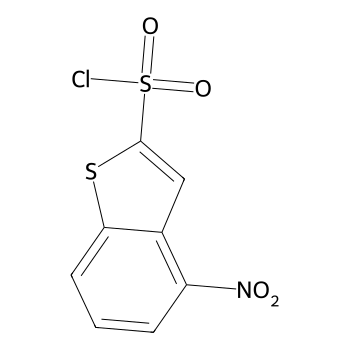 O=[N+]([O-])c1cccc2sc(S(=O)(=O)Cl)cc12